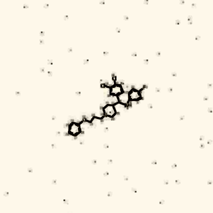 Fc1ccc(NC(c2ccc(Cl)c(Cl)c2)C2CCN(CCCOc3ccccc3)CC2)cc1